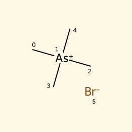 C[As+](C)(C)C.[Br-]